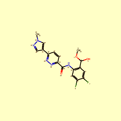 COC(O)c1cc(F)c(F)cc1NC(=O)c1ccc(-c2cnn(C)c2)nn1